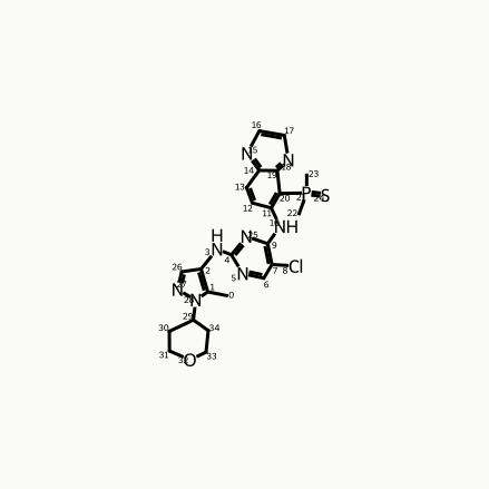 Cc1c(Nc2ncc(Cl)c(Nc3ccc4nccnc4c3P(C)(C)=S)n2)cnn1C1CCOCC1